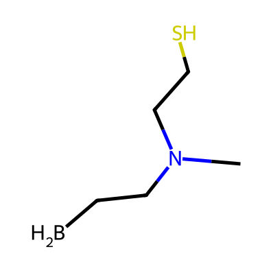 BCCN(C)CCS